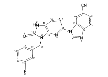 N#Cc1ccc2ncn(-c3ncc4[nH]c(=O)n(Cc5cccc(F)c5)c4n3)c2c1